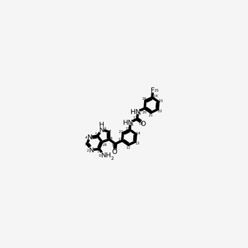 Nc1ncnc2[nH]cc(C(=O)c3cccc(NC(=O)Nc4cccc(F)c4)c3)c12